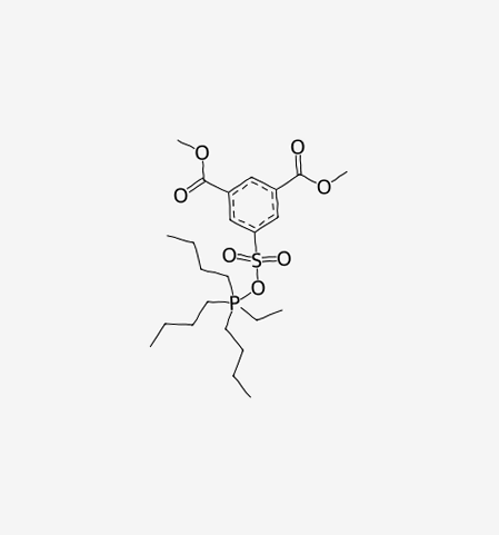 CCCCP(CC)(CCCC)(CCCC)OS(=O)(=O)c1cc(C(=O)OC)cc(C(=O)OC)c1